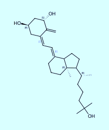 C=C1/C(=C\C=C2/CCC[C@@]3(C)C2CCC3[C@H](C)CCCC(C)(C)O)C[C@@H](O)C[C@@H]1O